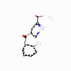 COC(=O)c1cc(C(=O)c2ccccc2[N+](=O)[O-])c[nH]1